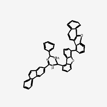 c1ccc(C2N=C(c3ccc4c(ccc5ccccc54)c3)NC(c3cccc4oc5c(-c6cccc7oc8c9ccccc9ccc8c67)cccc5c34)N2)cc1